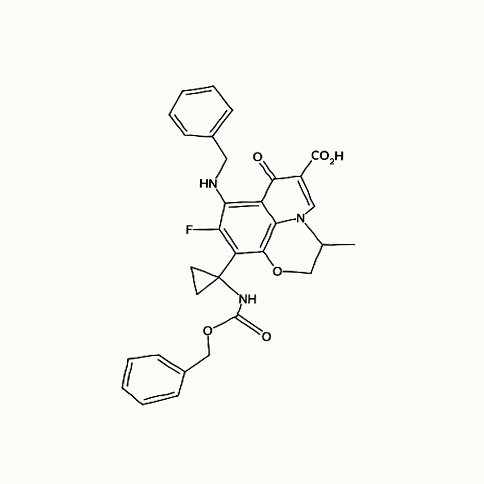 CC1COc2c(C3(NC(=O)OCc4ccccc4)CC3)c(F)c(NCc3ccccc3)c3c(=O)c(C(=O)O)cn1c23